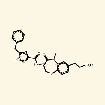 CCOC(=O)CCc1ccc2c(c1)N(C)C(=O)[C@H](NC(=O)c1n[nH]c(Cc3ccccc3)n1)CO2